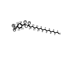 CCCCCCCCCCCCCCCC(=O)OC(=O)c1ccc([N+](=O)[O-])cc1